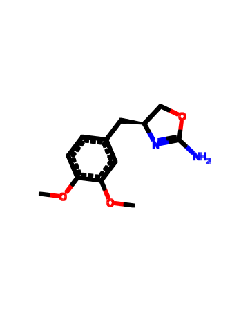 COc1ccc(C[C@H]2COC(N)=N2)cc1OC